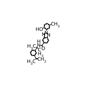 C=C(C)c1cccc(C(C)(C)NC(=O)c2ccc3nn(-c4cc(C)ccc4O)nc3c2)c1